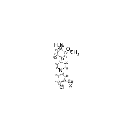 COc1cc(C2CCN(c3ccc(Cl)c(C4CC4)c3)CC2)c(F)cc1N